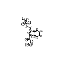 CN(C)S(=O)(=O)CCc1cn(C(=O)OC(C)(C)C)c2ccccc12